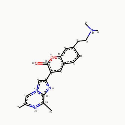 Cc1cn2cc(-c3cc4ccc(CCN(C)C)cc4oc3=O)nc2c(C)n1